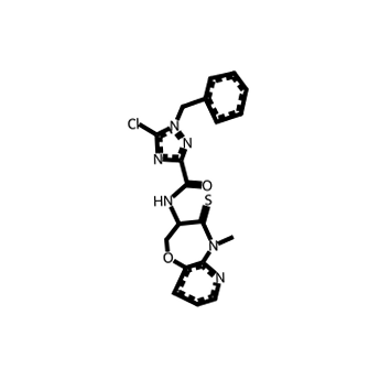 CN1C(=S)C(NC(=O)c2nc(Cl)n(Cc3ccccc3)n2)COc2cccnc21